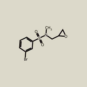 CN(CC1CO1)S(=O)(=O)c1cccc(Br)c1